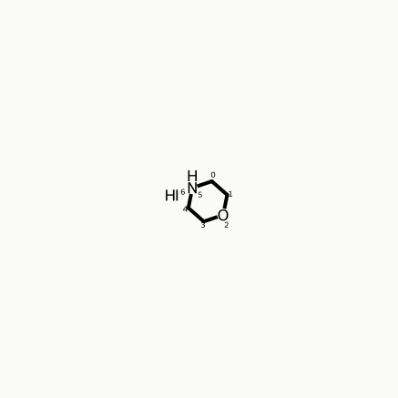 C1COCCN1.I